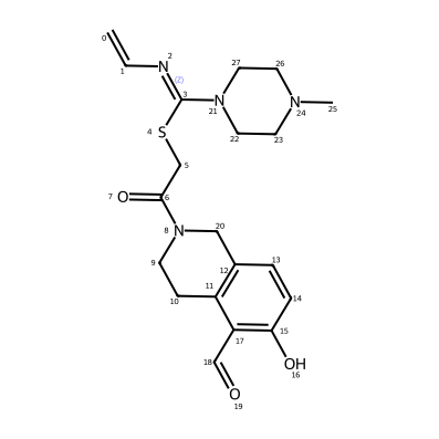 C=C/N=C(\SCC(=O)N1CCc2c(ccc(O)c2C=O)C1)N1CCN(C)CC1